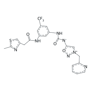 Cc1nc(CC(=O)Nc2cc(NC(=O)[N-]c3c[n+](Cc4ccccn4)no3)cc(C(F)(F)F)c2)cs1